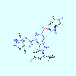 CNc1cc(F)cc2c1[nH]c1nc(Oc3cnc4ccoc4c3)nc(N3C[C@H]4CCN[C@H]4C3)c12